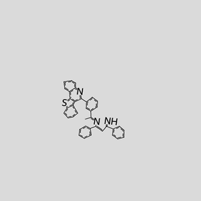 C/C(=N\C(=C/C(=N)c1ccccc1)c1ccccc1)c1cccc(-c2nc3ccccc3c3sc4ccccc4c23)c1